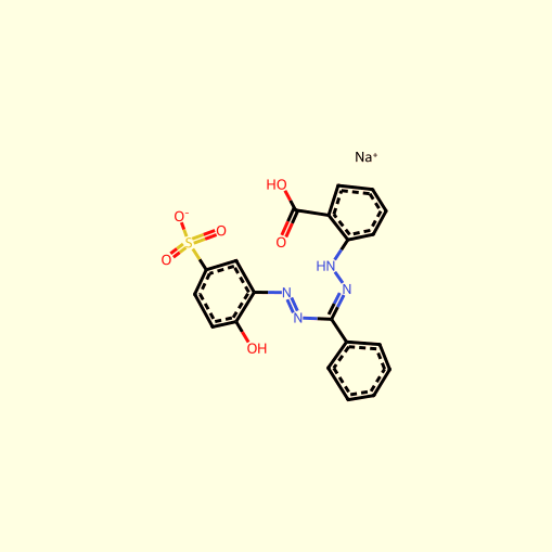 O=C(O)c1ccccc1NN=C(N=Nc1cc(S(=O)(=O)[O-])ccc1O)c1ccccc1.[Na+]